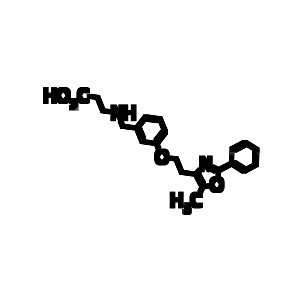 Cc1oc(-c2ccccc2)nc1CCOc1cccc(CNCCC(=O)O)c1